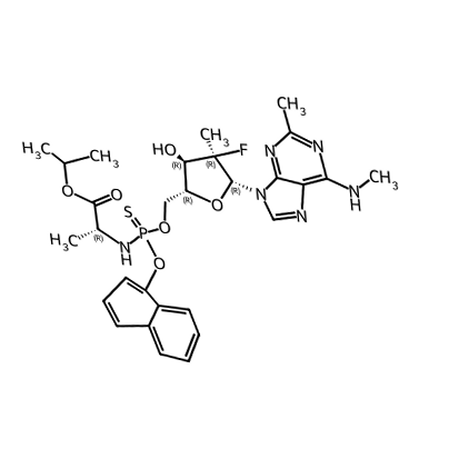 CNc1nc(C)nc2c1ncn2[C@@H]1O[C@H](COP(=S)(N[C@H](C)C(=O)OC(C)C)Oc2cccc3ccccc23)[C@@H](O)[C@@]1(C)F